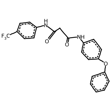 O=C(CC(=O)Nc1ccc(C(F)(F)F)cc1)Nc1ccc(Oc2ccccc2)cc1